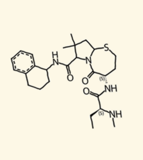 CC[C@H](NC)C(=O)N[C@H]1CCSC2CC(C)(C)C(C(=O)NC3CCCc4ccccc43)N2C1=O